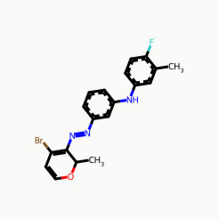 Cc1cc(Nc2cccc(N=NC3=C(Br)C=COC3C)c2)ccc1F